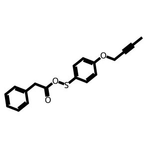 CC#CCOc1ccc(SOC(=O)Cc2ccccc2)cc1